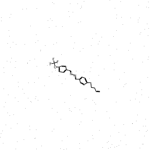 C=CCCCc1ccc(C=NN=Cc2ccc(OC(F)(F)F)cc2)cc1